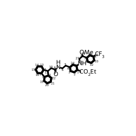 CCOC(=O)c1ccc(CCNC(=O)CC2c3ccccc3-c3ccccc32)cc1NCC(OC)c1cccc(C(F)(F)F)c1